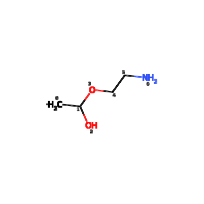 [CH2]C(O)OCCN